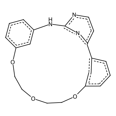 c1cc2cc(c1)OCCOCCOc1cccc(c1)-c1ccnc(n1)N2